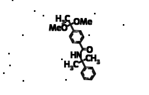 COC(C)(OC)c1ccc(C(=O)NC(C)(C)c2ccccc2)cc1